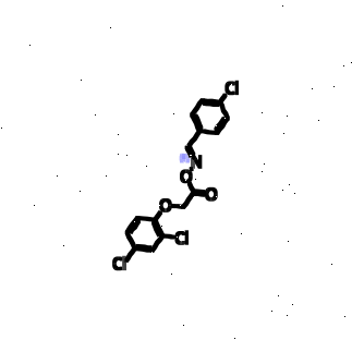 O=C(COc1ccc(Cl)cc1Cl)O/N=C/c1ccc(Cl)cc1